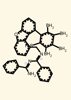 Bc1c(B)c(B)c(-c2cccc3oc4cccc(C/N=C(\N=C(/N)c5ccccc5)c5ccccc5)c4c23)c(B)c1B